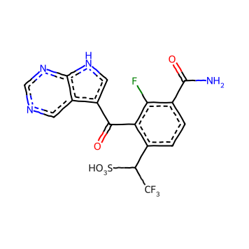 NC(=O)c1ccc(C(C(F)(F)F)S(=O)(=O)O)c(C(=O)c2c[nH]c3ncncc23)c1F